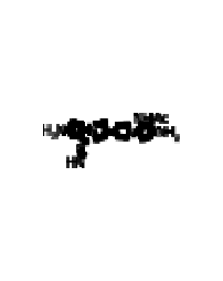 CC(=O)Nc1cc(N)ccc1N1CCC(C2CCN(c3ccc(N)cc3COC=N)CC2)CC1